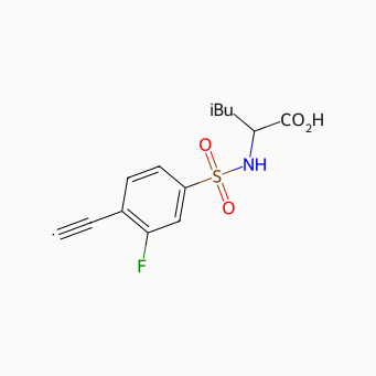 [C]#Cc1ccc(S(=O)(=O)NC(C(=O)O)C(C)CC)cc1F